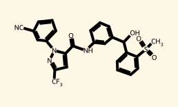 CS(=O)(=O)c1ccccc1C(O)c1cccc(NC(=O)c2cc(C(F)(F)F)nn2-c2cccc(C#N)c2)c1